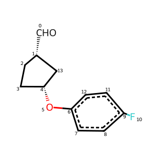 O=C[C@H]1CC[C@@H](Oc2ccc(F)cc2)C1